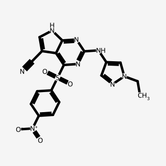 CCn1cc(Nc2nc(S(=O)(=O)c3ccc([N+](=O)[O-])cc3)c3c(C#N)c[nH]c3n2)cn1